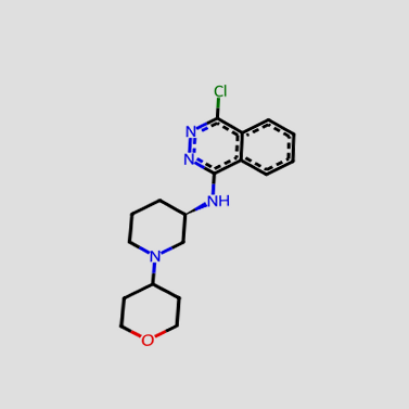 Clc1nnc(N[C@@H]2CCCN(C3CCOCC3)C2)c2ccccc12